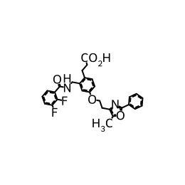 Cc1oc(-c2ccccc2)nc1CCOc1ccc(CCC(=O)O)c(CNC(=O)c2cccc(F)c2F)c1